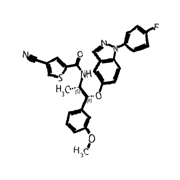 COc1cccc([C@@H](Oc2ccc3c(cnn3-c3ccc(F)cc3)c2)[C@H](C)NC(=O)c2cc(C#N)cs2)c1